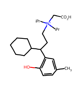 Cc1ccc(O)c(C(CC[N+](CC(=O)O)(C(C)C)C(C)C)C2CCCCC2)c1